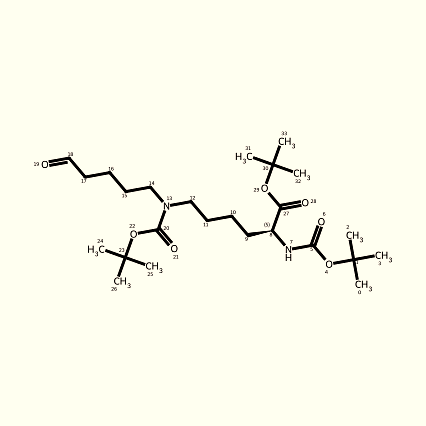 CC(C)(C)OC(=O)N[C@@H](CCCCN(CCCCC=O)C(=O)OC(C)(C)C)C(=O)OC(C)(C)C